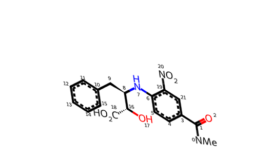 CNC(=O)c1ccc(N[C@H](Cc2ccccc2)[C@H](O)C(=O)O)c([N+](=O)[O-])c1